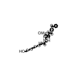 C#CCOCCOCCOCCOCCNC(=O)c1csc(-c2ncc(OC)c3c(C(=O)C(=O)N4CCN(C(=O)c5ccccc5)CC4)c[nH]c23)n1